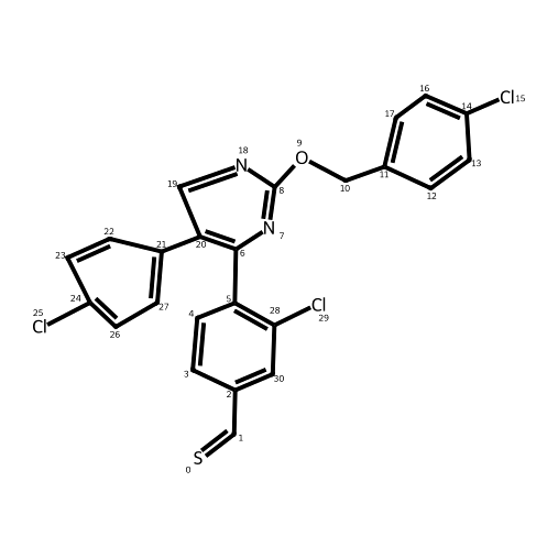 S=Cc1ccc(-c2nc(OCc3ccc(Cl)cc3)ncc2-c2ccc(Cl)cc2)c(Cl)c1